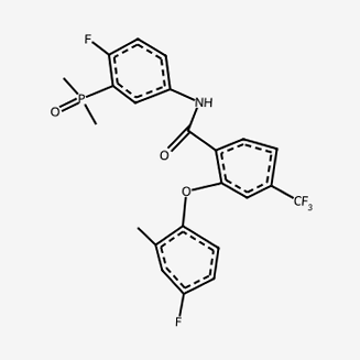 Cc1cc(F)ccc1Oc1cc(C(F)(F)F)ccc1C(=O)Nc1ccc(F)c(P(C)(C)=O)c1